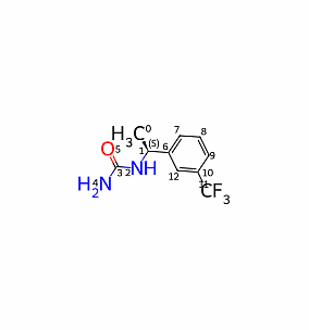 C[C@H](NC(N)=O)c1cccc(C(F)(F)F)c1